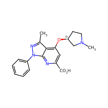 Cc1nn(-c2ccccc2)c2nc(C(=O)O)cc(O[C@H]3CCN(C)C3)c12